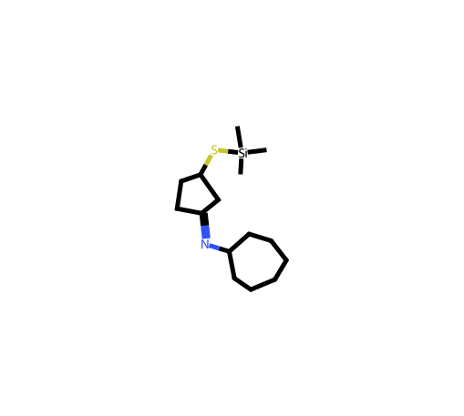 C[Si](C)(C)SC1CCC(=NC2CCCCCC2)C1